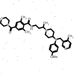 COc1ccc(N(Cc2cnccc2C)C2CCN(C(C)CCNC(=O)c3c(C)cc(C(=O)N4CCOCC4)cc3C)CC2)cc1